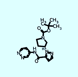 CC(C)(C)OC(=O)N1CC[C@@H](n2nccc2C(=O)Nc2ccnnc2)C1